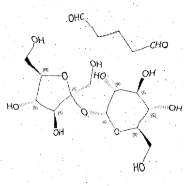 O=CCCCC=O.OC[C@H]1O[C@@](CO)(O[C@H]2O[C@H](CO)[C@@H](O)[C@H](O)[C@H]2O)[C@@H](O)[C@@H]1O